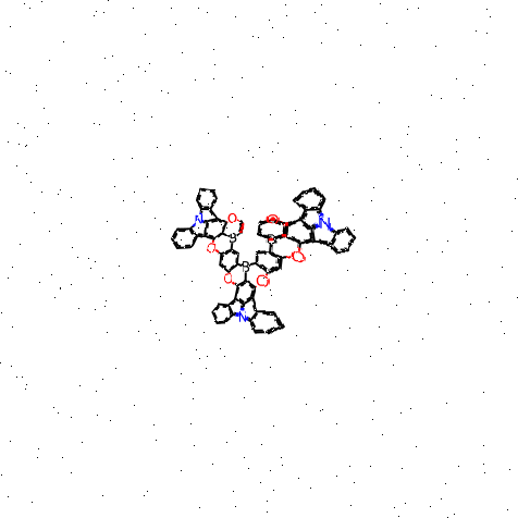 c1ccc2c(c1)Oc1c3c(c4c5ccccc5n5c6ccccc6c1c45)Oc1cc4c(cc1B23)B1c2cc3c(cc2Oc2c1c(c1c5ccccc5n5c6ccccc6c2c15)O4)Oc1c2c(c4c5ccccc5n5c6ccccc6c1c45)Oc1ccccc1B32